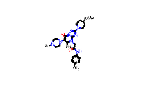 COC1CCN(c2nc3n(CC(=O)Nc4ccc(C(F)(F)F)cc4)c(C)c(N4CCN(C(C)=O)CC4)c(=O)n3n2)CC1